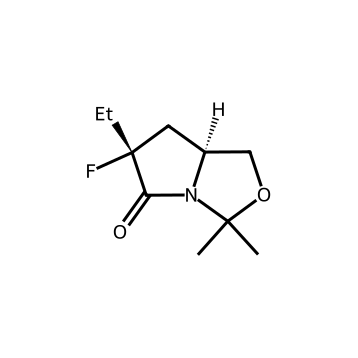 CC[C@@]1(F)C[C@H]2COC(C)(C)N2C1=O